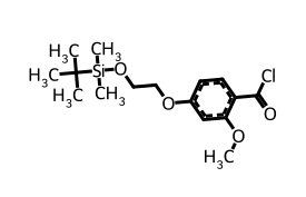 COc1cc(OCCO[Si](C)(C)C(C)(C)C)ccc1C(=O)Cl